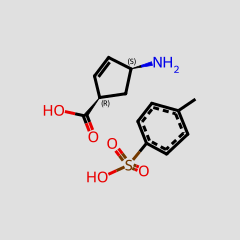 Cc1ccc(S(=O)(=O)O)cc1.N[C@@H]1C=C[C@H](C(=O)O)C1